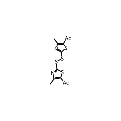 CC(=O)c1sc(SSc2nc(C)c(C(C)=O)s2)nc1C